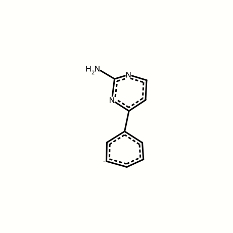 Nc1nccc(-c2c[c]ccc2)n1